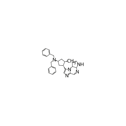 C[C@@H]1C[C@H](N(Cc2ccccc2)Cc2ccccc2)C[C@@H]1c1cnc2n1C1C=CNC1N=C2